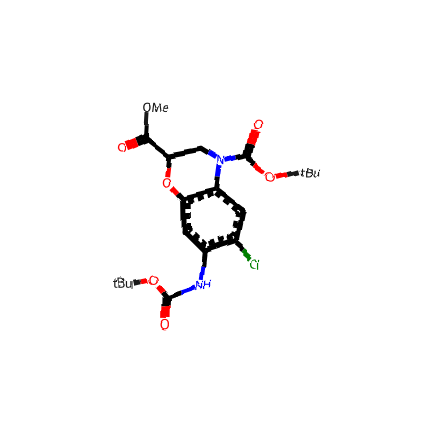 COC(=O)C1CN(C(=O)OC(C)(C)C)c2cc(Cl)c(NC(=O)OC(C)(C)C)cc2O1